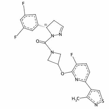 Cc1nscc1-c1ccc(F)c(OC2CN(C(=O)N3N=CC[C@H]3c3cc(F)cc(F)c3)C2)n1